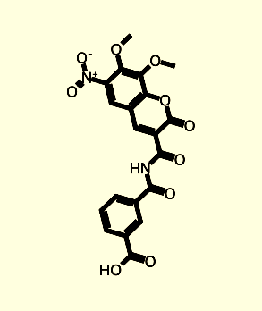 COc1c([N+](=O)[O-])cc2cc(C(=O)NC(=O)c3cccc(C(=O)O)c3)c(=O)oc2c1OC